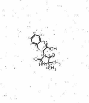 CC1(C)NC(=O)N([C@H](Cc2ccccc2)C(=O)O)C1=O